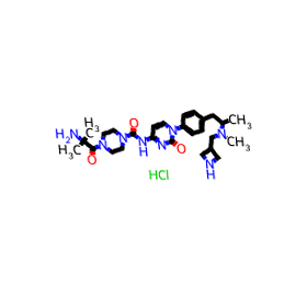 CC(Cc1ccc(-n2ccc(NC(=O)N3CCN(C(=O)C(C)(C)N)CC3)nc2=O)cc1)N(C)CC1CNC1.Cl